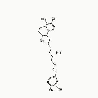 Cl.NC1CCc2c(ccc(O)c2O)C1CCCCCCOCCc1ccc(O)c(O)c1